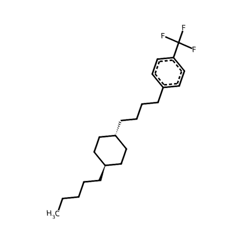 CCCCC[C@H]1CC[C@H](CCCCc2ccc(C(F)(F)F)cc2)CC1